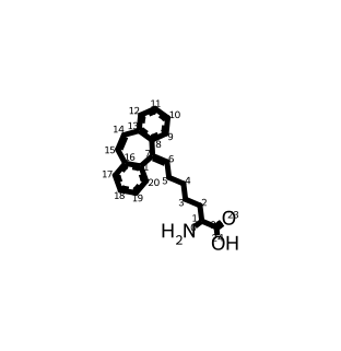 NC(CCCCC=C1c2ccccc2C=Cc2ccccc21)C(=O)O